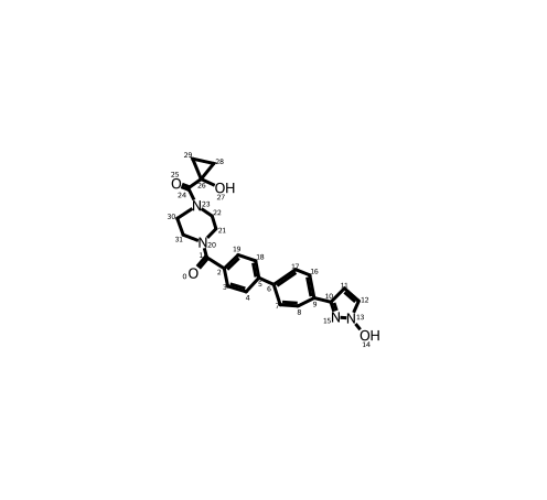 O=C(c1ccc(-c2ccc(-c3ccn(O)n3)cc2)cc1)N1CCN(C(=O)C2(O)CC2)CC1